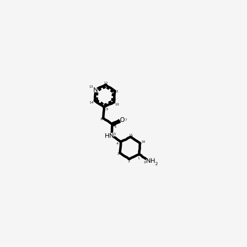 NC1CCC(NC(=O)Cc2cccnc2)CC1